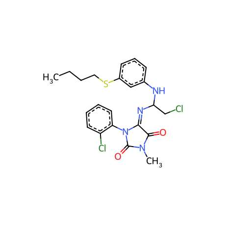 CCCCSc1cccc(NC(CCl)N=C2C(=O)N(C)C(=O)N2c2ccccc2Cl)c1